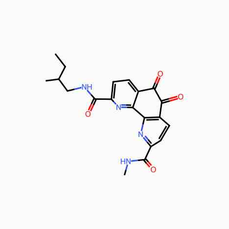 CCC(C)CNC(=O)c1ccc2c(n1)-c1nc(C(=O)NC)ccc1C(=O)C2=O